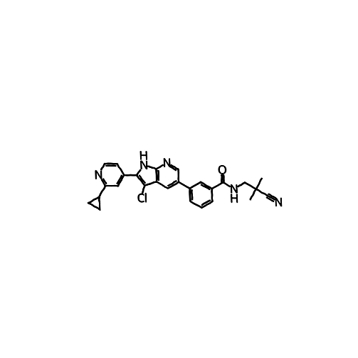 CC(C)(C#N)CNC(=O)c1cccc(-c2cnc3[nH]c(-c4ccnc(C5CC5)c4)c(Cl)c3c2)c1